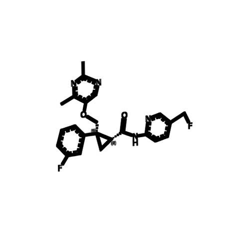 Cc1ncc(OC[C@@]2(c3cccc(F)c3)C[C@H]2C(=O)Nc2ccc(CF)cn2)c(C)n1